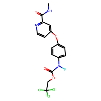 CNC(=O)c1cc(Oc2ccc(N(F)C(=O)OCC(Cl)(Cl)Cl)cc2)ccn1